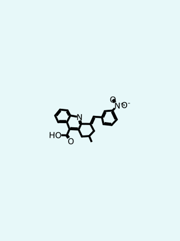 CC1C/C(=C\c2cccc([N+](=O)[O-])c2)c2nc3ccccc3c(C(=O)O)c2C1